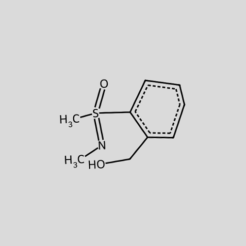 CN=S(C)(=O)c1ccccc1CO